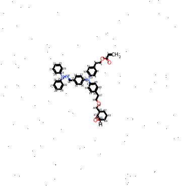 C=CC(=O)OCCc1ccc(N(c2ccc(C=NN(c3ccccc3)c3ccccc3)cc2)c2ccc(CCOCC3CCC[C@@H]4OC34)cc2)cc1